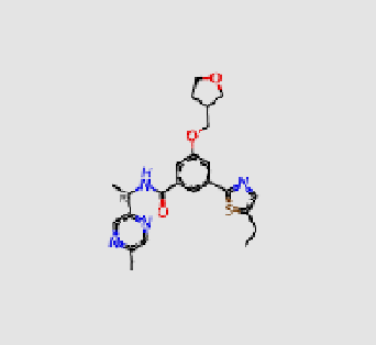 CCc1cnc(-c2cc(OCC3CCOC3)cc(C(=O)N[C@H](C)c3cnc(C)cn3)c2)s1